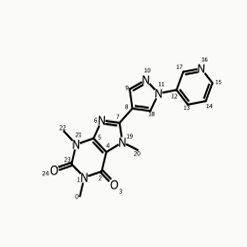 Cn1c(=O)c2c(nc(-c3cnn(-c4cccnc4)c3)n2C)n(C)c1=O